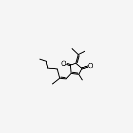 CCCC/C(C)=C\C1=C(C)C(=O)C(=C(C)C)C1=O